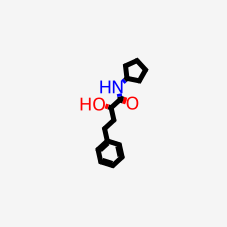 O=C(NC1CCCC1)C(O)CCc1ccccc1